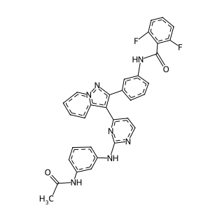 CC(=O)Nc1cccc(Nc2nccc(-c3c(-c4cccc(NC(=O)c5c(F)cccc5F)c4)nn4ccccc34)n2)c1